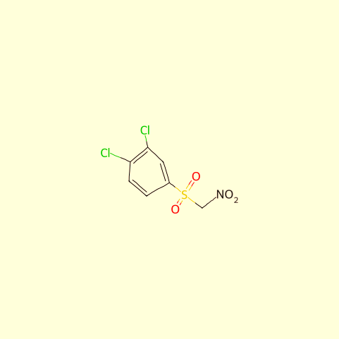 O=[N+]([O-])CS(=O)(=O)c1ccc(Cl)c(Cl)c1